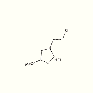 COC1CCN(CCCl)C1.Cl